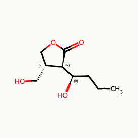 CCC[C@@H](O)[C@@H]1C(=O)OC[C@H]1CO